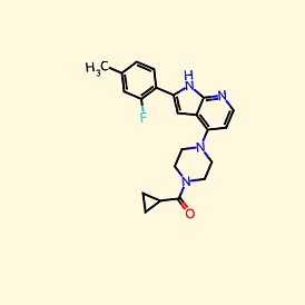 Cc1ccc(-c2cc3c(N4CCN(C(=O)C5CC5)CC4)ccnc3[nH]2)c(F)c1